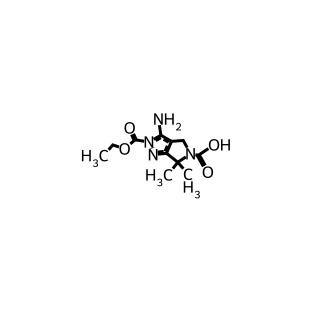 CCOC(=O)n1nc2c(c1N)CN(C(=O)O)C2(C)C